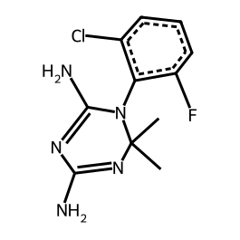 CC1(C)N=C(N)N=C(N)N1c1c(F)cccc1Cl